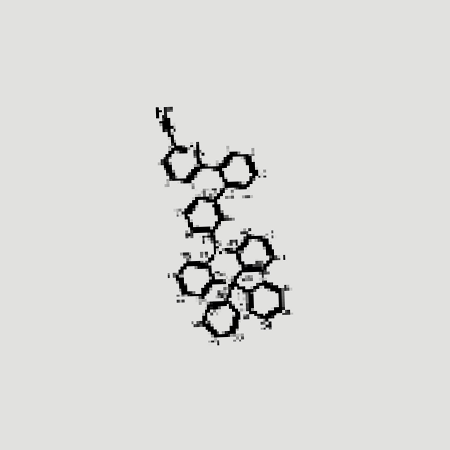 N#Cc1cccc(-c2ccccc2-c2cccc(N3c4ccccc4[Si](c4ccccc4)(c4ccccc4)c4ccccc43)c2)n1